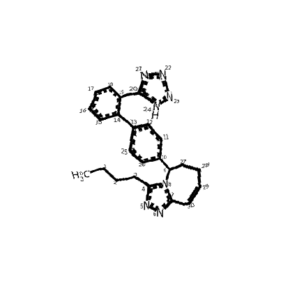 CCCCc1nnc2n1C(c1ccc(-c3ccccc3-c3nnn[nH]3)cc1)CCC=C2